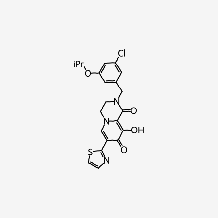 CC(C)Oc1cc(Cl)cc(CN2CCn3cc(-c4nccs4)c(=O)c(O)c3C2=O)c1